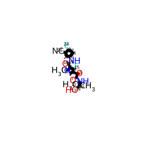 Cn1cc(C(=O)C(=O)NC(C)(C)CO)c(F)c1C(=O)Nc1ccc(F)c(C#N)c1